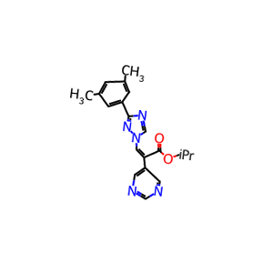 Cc1cc(C)cc(-c2ncn(/C=C(\C(=O)OC(C)C)c3cncnc3)n2)c1